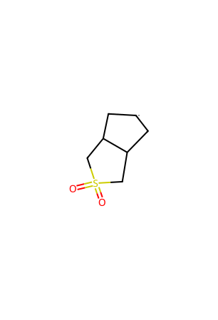 O=S1(=O)CC2C[CH]CC2C1